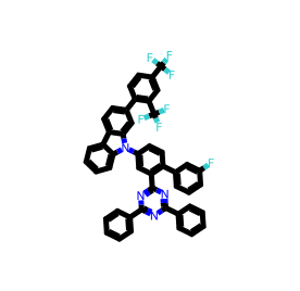 Fc1cccc(-c2ccc(-n3c4ccccc4c4ccc(-c5ccc(C(F)(F)F)cc5C(F)(F)F)cc43)cc2-c2nc(-c3ccccc3)nc(-c3ccccc3)n2)c1